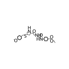 CCOC(=O)c1ccc(NC(=O)CNCC(=O)C2CC(SCc3ccc(OC)cc3)CN2)cc1